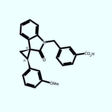 COc1cccc([C@H]2C[C@@]23C(=O)N(Cc2cccc(C(=O)O)c2)c2ccccc23)c1